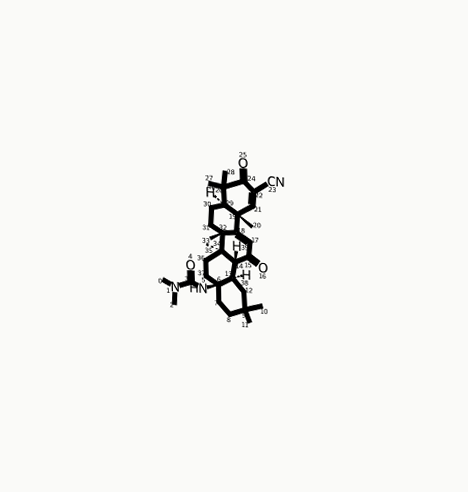 CN(C)C(=O)N[C@]12CCC(C)(C)C[C@@H]1[C@H]1C(=O)C=C3[C@@]4(C)C=C(C#N)C(=O)C(C)(C)[C@@H]4CC[C@@]3(C)[C@]1(C)CC2